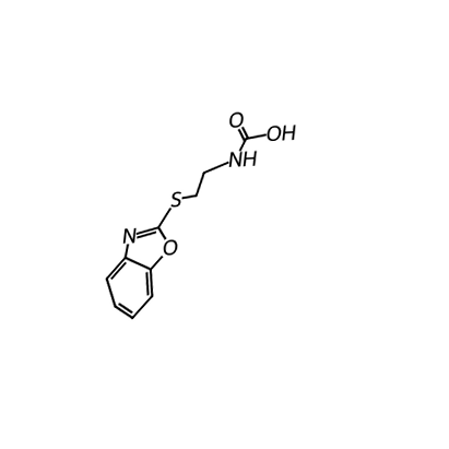 O=C(O)NCCSc1nc2ccccc2o1